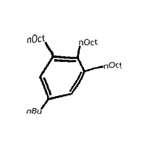 [CH2]CCCc1cc(CCCCCCCC)c(CCCCCCCC)c(CCCCCCCC)c1